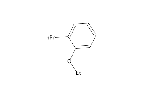 C[CH]Cc1ccccc1OCC